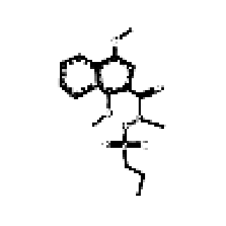 CCCS(=O)(=O)ON(C)C(=O)c1cc(OC)c2ccccc2c1OC